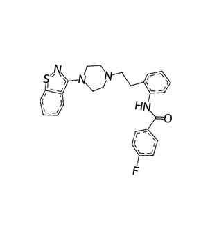 O=C(Nc1ccccc1CCN1CCN(c2nsc3ccccc23)CC1)c1ccc(F)cc1